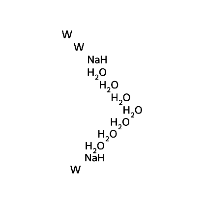 O.O.O.O.O.O.O.[NaH].[NaH].[W].[W].[W]